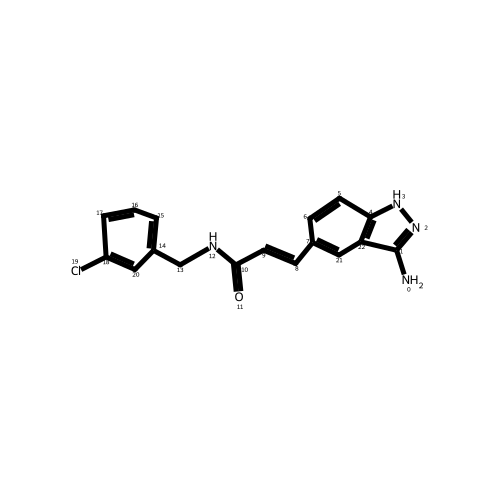 Nc1n[nH]c2ccc(/C=C/C(=O)NCc3cccc(Cl)c3)cc12